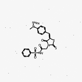 CCCCCCN(C)c1ccc(C=C2SC(=S)N(CC(=O)NS(=O)(=O)c3ccccc3)C2=O)cc1